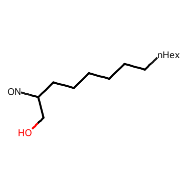 CCCCCCCCCCCCC(CO)N=O